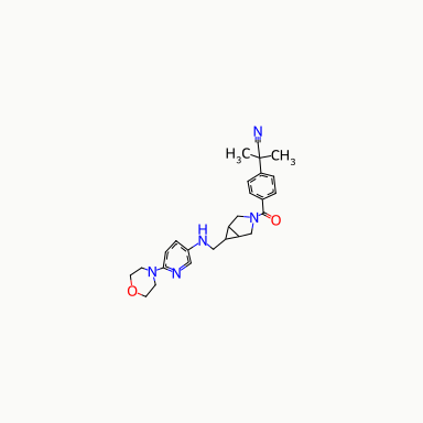 CC(C)(C#N)c1ccc(C(=O)N2CC3C(CNc4ccc(N5CCOCC5)nc4)C3C2)cc1